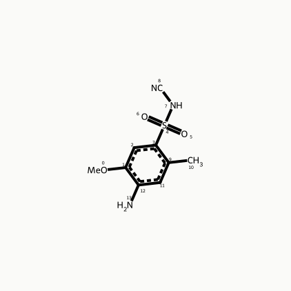 COc1cc(S(=O)(=O)NC#N)c(C)cc1N